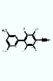 Cc1cc(C)cc(-c2c(F)c(F)c(C#N)c(F)c2F)c1